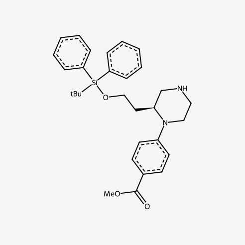 COC(=O)c1ccc(N2CCNC[C@@H]2CCO[Si](c2ccccc2)(c2ccccc2)C(C)(C)C)cc1